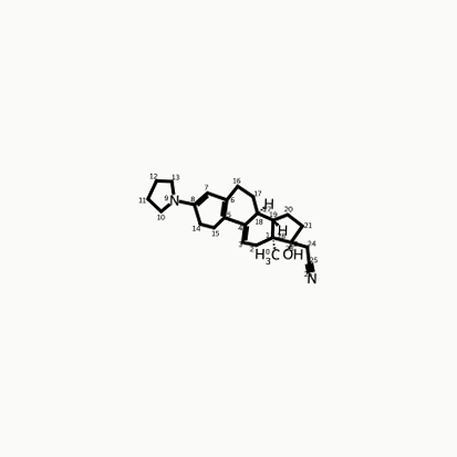 C[C@]12CC=C3C4=C(C=C(N5CCCC5)CC4)CC[C@H]3[C@@H]1CC[C@@]2(O)CC#N